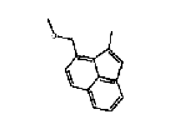 COCc1ccc2cccc3c2c1C(C)=C3